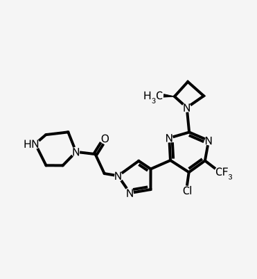 C[C@H]1CCN1c1nc(-c2cnn(CC(=O)N3CCNCC3)c2)c(Cl)c(C(F)(F)F)n1